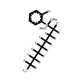 CCc1ccccc1[Si](OC)(OC)C(F)(F)C(F)(F)C(F)(F)C(F)(F)C(F)(F)C(F)(F)C(F)(F)C(F)(F)F